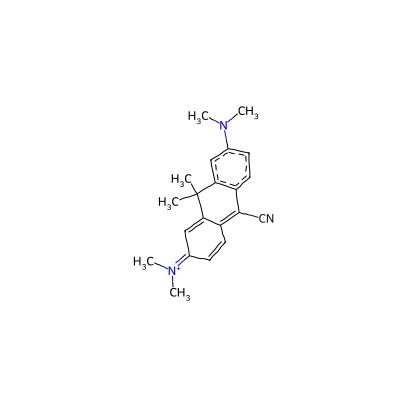 CN(C)c1ccc2c(c1)C(C)(C)C1=CC(=[N+](C)C)C=CC1=C2C#N